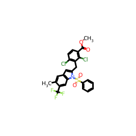 COC(=O)c1ccc(Cl)c(Cc2cc3cc(C)c(C(F)(F)F)cc3n2S(=O)(=O)c2ccccc2)c1Cl